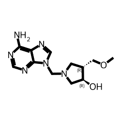 COC[C@H]1CN(Cn2cnc3c(N)ncnc32)C[C@@H]1O